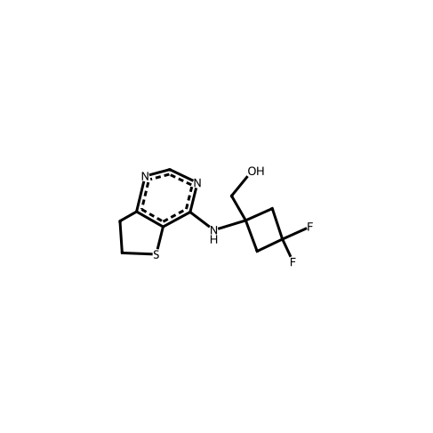 OCC1(Nc2ncnc3c2SCC3)CC(F)(F)C1